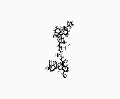 CN(Cc1c(C=O)cccc1NC(=O)CCNCCN/C=C(\N)CNC(=O)C1(Cc2cccc(Nc3nccs3)n2)CCCCC1)C1CCC(=O)NC1=O